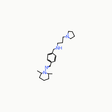 CC1CCCC(C)N1N=Cc1ccc(CNCCCN2CCCC2)cc1